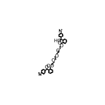 CN(C)c1ccc(C(=O)c2ccccc2C(=O)OCCOCCOCCOCCOC(=O)c2ccccc2C(O)c2ccc(N(C)C)cc2)cc1